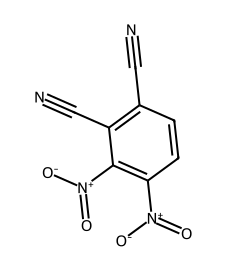 N#Cc1ccc([N+](=O)[O-])c([N+](=O)[O-])c1C#N